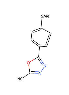 CSc1ccc(-c2nnc(C#N)o2)cc1